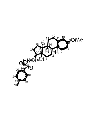 CC[C@]12CC[C@@H]3c4ccc(OC)cc4CC[C@H]3[C@@H]1CCC2=NNS(=O)(=O)c1ccc(C)cc1